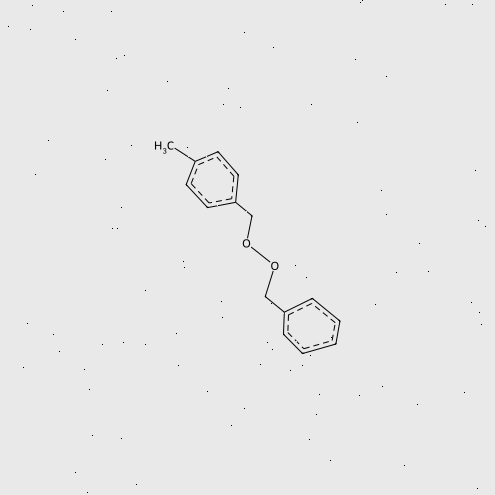 Cc1ccc(COOCc2ccccc2)cc1